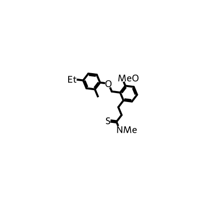 CCc1ccc(OCc2c(CCC(=S)NC)cccc2OC)c(C)c1